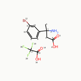 CC(N)(CC(=O)O)c1cccc(Br)c1.O=C(O)C(F)(F)F